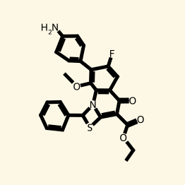 CCOC(=O)c1c2n(c3c(OC)c(-c4ccc(N)cc4)c(F)cc3c1=O)C(c1ccccc1)S2